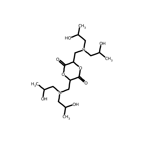 CC(O)CN(CC(C)O)CC1OC(=O)C(CN(CC(C)O)CC(C)O)OC1=O